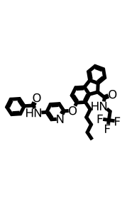 CCCCCc1c(Oc2ccc(NC(=O)c3ccccc3)cn2)ccc2c1C(C(=O)NCC(F)(F)F)c1ccccc1-2